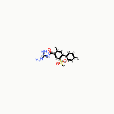 Cc1ccc(-c2cc(C)c(C(=O)N=C(N)N)cc2S(C)(=O)=O)cc1